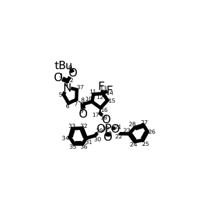 CC(C)(C)OC(=O)N1CC[C@@H](C(=O)C2CC(F)(F)C[C@H]2COP(=O)(OCc2ccccc2)OCc2ccccc2)C1